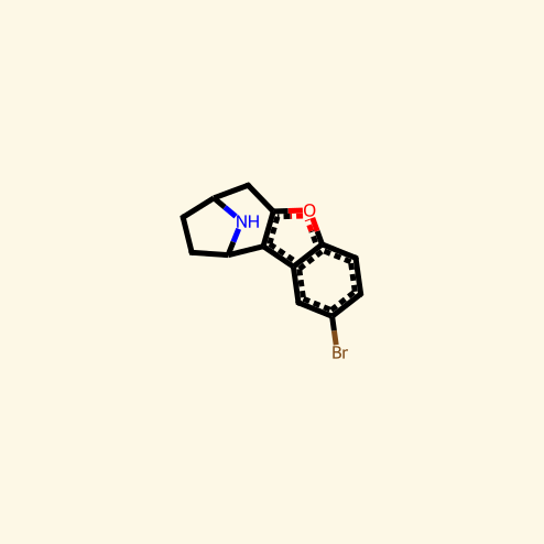 Brc1ccc2oc3c(c2c1)C1CCC(C3)N1